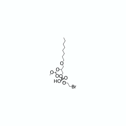 CCCCCCCCOCC(COP(=O)(O)OCCBr)OC(=O)OC